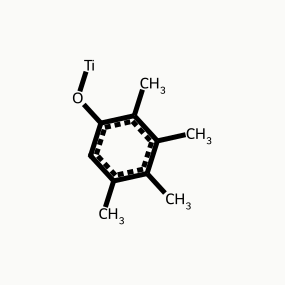 Cc1cc([O][Ti])c(C)c(C)c1C